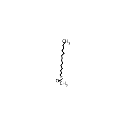 C=CCCCCCCCCCCCCCSC(C)=O